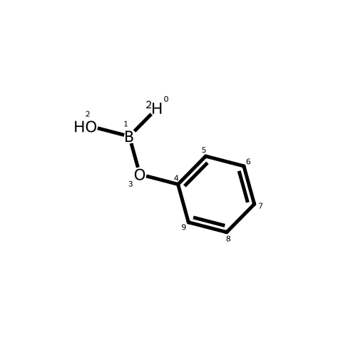 [2H]B(O)Oc1ccccc1